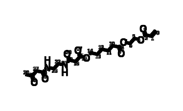 C=CC(=O)OCCOC(=O)CCCCCOC(=O)CC(=O)NCCNC(=O)CC(C)=O